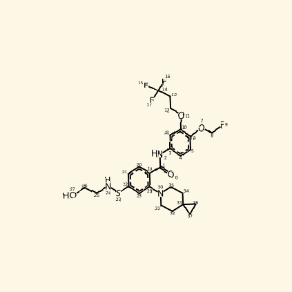 O=C(Nc1ccc(OCF)c(OCCC(F)(F)F)c1)c1ccc(SNCCO)cc1N1CCC2(CC1)CC2